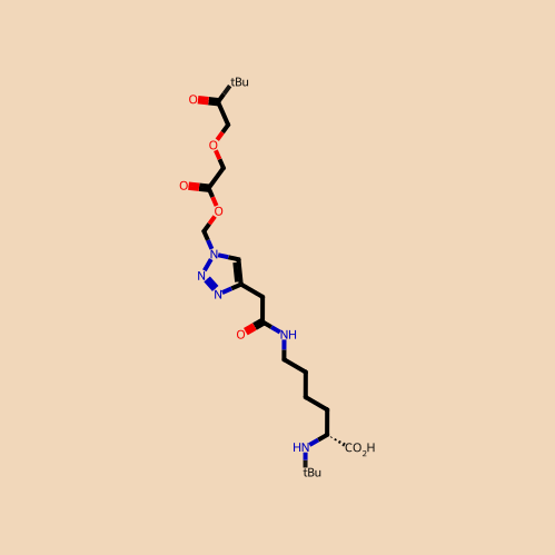 CC(C)(C)N[C@H](CCCCNC(=O)Cc1cn(COC(=O)COCC(=O)C(C)(C)C)nn1)C(=O)O